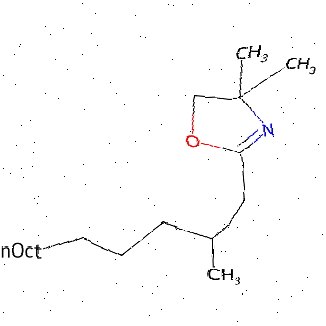 CCCCCCCCCCCC(C)CC1=NC(C)(C)CO1